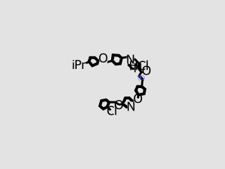 CC(C)c1ccc(OCc2ccc(CN3CCN(C(=O)/C=C/c4ccc(Oc5ccc(OCc6ccccc6Cl)cn5)cc4)CC3)cc2)cc1.Cl